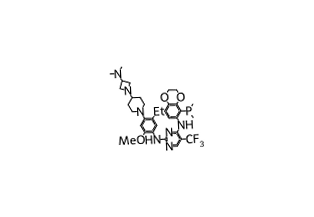 CCc1cc(Nc2ncc(C(F)(F)F)c(Nc3ccc4c(c3P(C)C)OCCO4)n2)c(OC)cc1N1CCC(N2CC(N(C)C)C2)CC1